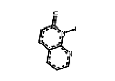 O=c1ccc2cccnc2n1I